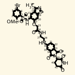 COc1ccc(Br)cc1S(=O)(=O)Nc1cc2c(C)noc2cc1OCC(=O)NCCNc1ccc2c(c1)C(=O)N(C1CCC(=O)NC1=O)C2=O